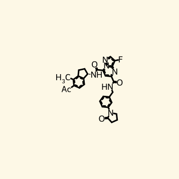 CC(=O)c1ccc2c(c1C)CC[C@@H]2NC(=O)c1cc(C(=O)NCc2cccc(N3CCCC3=O)c2)nc2c(F)cnn12